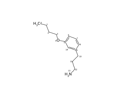 CCCCOc1cccc(CCCN)c1